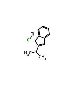 CC(C)C1=Cc2ccccc2[CH]1.[Cl][Ti]